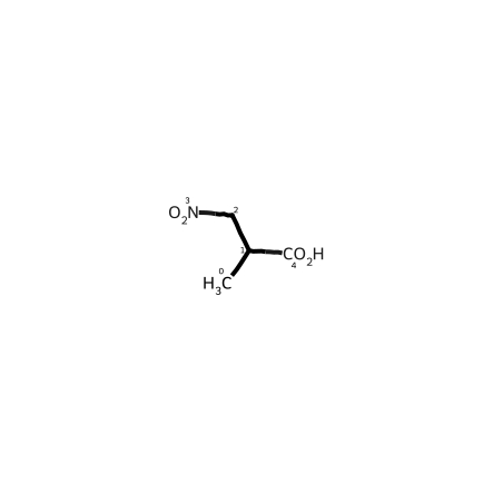 CC(C[N+](=O)[O-])C(=O)O